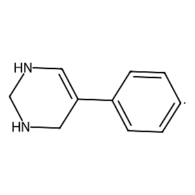 [c]1ccc(C2=CNCNC2)cc1